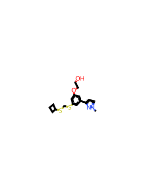 Cn1c[c]c(-c2cc(OCCO)cc(SCSC3CCC3)c2)n1